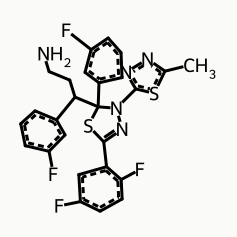 Cc1nnc(N2N=C(c3cc(F)ccc3F)SC2(c2cccc(F)c2)C(CCN)c2cccc(F)c2)s1